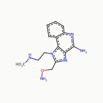 NOCc1nc2c(N)nc3ccccc3c2n1CCNC(=O)O